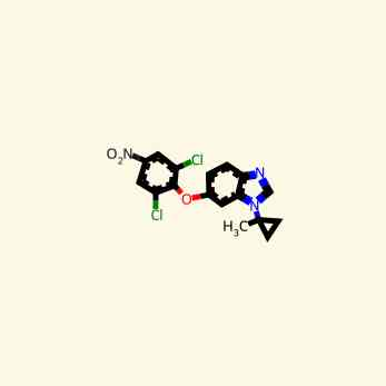 CC1(n2cnc3ccc(Oc4c(Cl)cc([N+](=O)[O-])cc4Cl)cc32)CC1